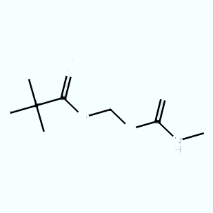 CNC(=O)OCOC(=O)C(C)(C)C